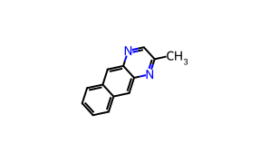 Cc1cnc2cc3ccccc3cc2n1